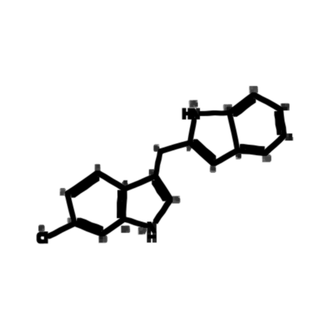 Clc1ccc2c(Cc3cc4ccccc4[nH]3)c[nH]c2c1